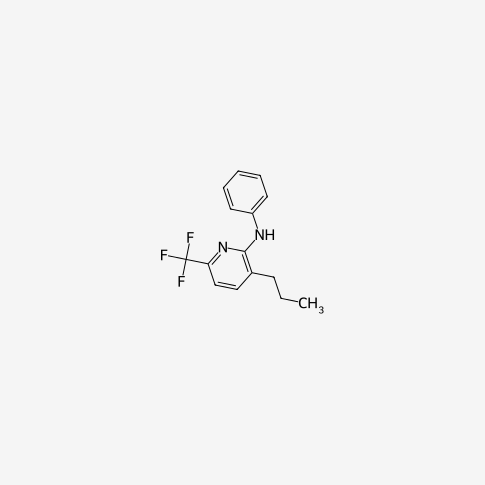 CCCc1ccc(C(F)(F)F)nc1Nc1ccccc1